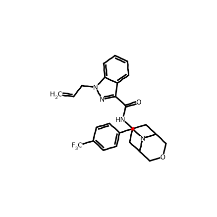 C=CCn1nc(C(=O)NC2CC3COCC(C2)N3Cc2ccc(C(F)(F)F)cc2)c2ccccc21